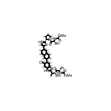 CCCN(C(=O)[C@@H](NC(=O)OC)C(C)C)C(C)c1nc2cc(-c3ccc4cc(-c5c[nH]c([C@@H]6CCCN6C(=O)[C@@H](NC(=O)OC)C(C)C)n5)ccc4c3)c(Cl)cc2[nH]1